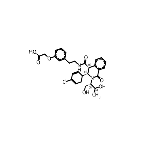 C[C@H](O)[C@H](CO)N1C(=O)c2ccccc2[C@H](C(=O)NCCc2cccc(OCC(=O)O)c2)[C@H]1C1C=CC(Cl)=CC1